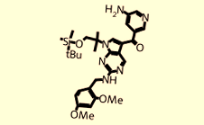 COc1ccc(CNc2ncc3c(C(=O)c4cncc(N)c4)cn(C(C)(C)CO[Si](C)(C)C(C)(C)C)c3n2)c(OC)c1